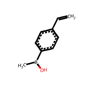 C=Cc1ccc(B(C)O)cc1